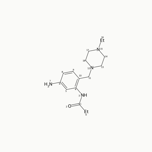 CCC(=O)Nc1cc(N)ccc1CN1CCN(CC)CC1